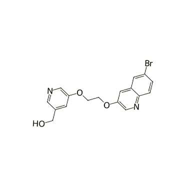 OCc1cncc(OCCOc2cnc3ccc(Br)cc3c2)c1